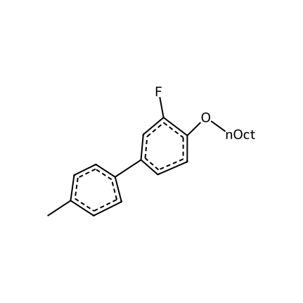 CCCCCCCCOc1ccc(-c2ccc(C)cc2)cc1F